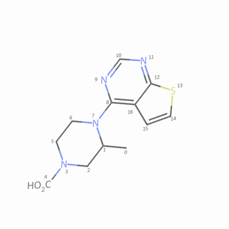 CC1CN(C(=O)O)CCN1c1ncnc2sccc12